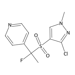 Cn1cc(S(=O)(=O)C(C)(F)c2ccncc2)c(Cl)n1